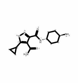 NC(=O)c1c(C(=O)N[C@H]2CC[C@H](N)CC2)noc1C1CC1